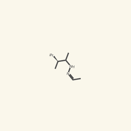 C/C=N\NC(C)[C@@H](C)C(C)C